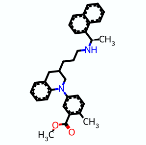 COC(=O)c1cc(N2CC(CCCN[C@H](C)c3cccc4ccccc34)Cc3ccccc32)ccc1C